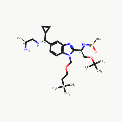 CC(C)[C@@H](N)CN[C@@H](c1ccc2c(c1)nc([C@H](COC(C)(C)C(F)(F)F)N[S@+]([O-])C(C)(C)C)n2COCC[Si](C)(C)C)C1CC1